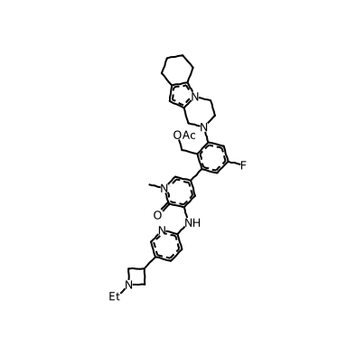 CCN1CC(c2ccc(Nc3cc(-c4cc(F)cc(N5CCn6c(cc7c6CCCC7)C5)c4COC(C)=O)cn(C)c3=O)nc2)C1